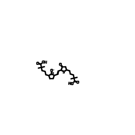 CC(C)(CCCC1CC(=O)C(C=CC2CCC(CCCC(C)(C)C(=O)O)[S+]2[O-])S1)C(=O)O